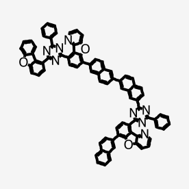 c1ccc(-c2nc(-c3ccc4ccc(-c5ccc6cc(-c7ccc(-c8nc(-c9ccccc9)nc(-c9cccc%10oc%11ccccc%11c9%10)n8)c8c7oc7cccnc78)ccc6c5)cc4c3)nc(-c3ccc(-c4ccc5ccccc5c4)c4oc5cccnc5c34)n2)cc1